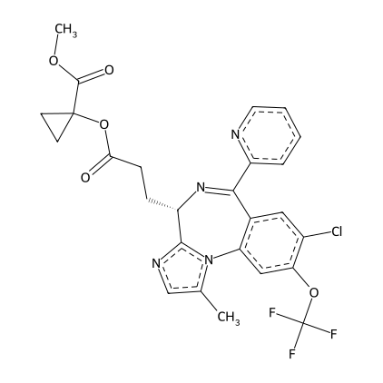 COC(=O)C1(OC(=O)CC[C@@H]2N=C(c3ccccn3)c3cc(Cl)c(OC(F)(F)F)cc3-n3c(C)cnc32)CC1